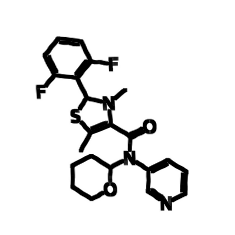 CC1=C(C(=O)N(c2cccnc2)C2CCCCO2)N(C)C(c2c(F)cccc2F)S1